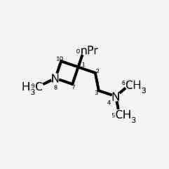 CCCC1(CCN(C)C)CN(C)C1